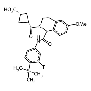 COc1ccc2c(c1)CCN(C(=O)[C@H]1C[C@@H](C(=O)O)C1)C2C(=O)Nc1ccc([Si](C)(C)C)c(F)c1